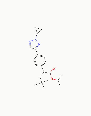 CC(C)OC(=O)C(CC(C)(C)C)c1ccc(-c2cnn(C3CC3)n2)cc1